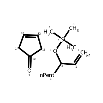 C=CC(CCCCC)O[Si](C)(C)C.O=C1CC=CC1